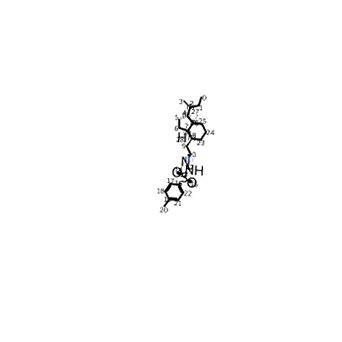 CC[C@H](C)[C@H]1CC[C@H]2[C@H](C/C=N/NS(=O)(=O)c3ccc(C)cc3)CCC[C@]12C